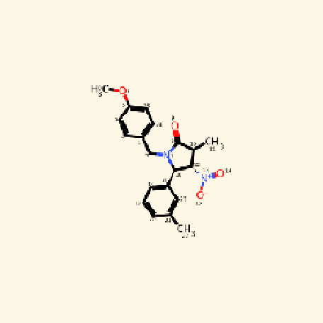 COc1ccc(CN2C(=O)C(C)[C@H]([N+](=O)[O-])[C@H]2c2cccc(C)c2)cc1